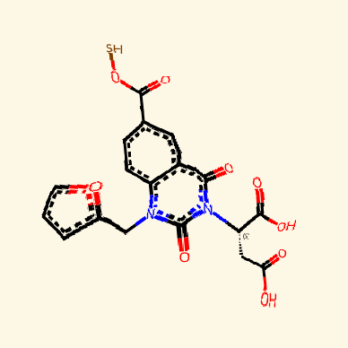 O=C(O)C[C@@H](C(=O)O)n1c(=O)c2cc(C(=O)OS)ccc2n(Cc2ccco2)c1=O